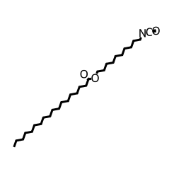 CCCCCCCCCCCCCCCCCC(=O)OCCCCCCCCCCN=C=O